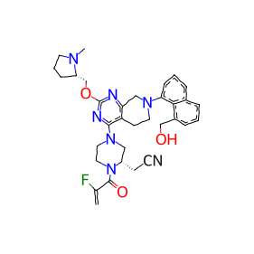 C=C(F)C(=O)N1CCN(c2nc(OC[C@@H]3CCCN3C)nc3c2CCN(c2cccc4cccc(CO)c24)C3)C[C@@H]1CC#N